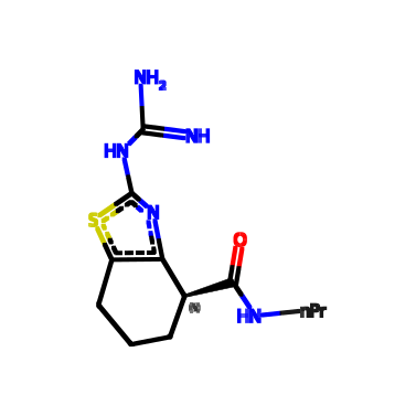 CCCNC(=O)[C@H]1CCCc2sc(NC(=N)N)nc21